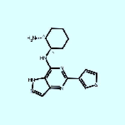 N[C@@H]1CCCC[C@H]1Nc1nc(-c2ccsc2)nc2cn[nH]c12